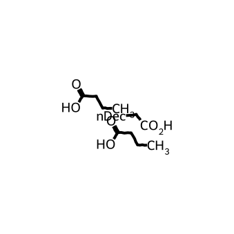 CCCC(=O)O.CCCC(=O)O.CCCCCCCCCCCC(=O)O